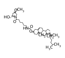 CO[C@@H]1C[C@@H](CO)N(C(=O)CCCCCNC(=O)O[C@H]2CC[C@@]3(C)C(=CCC4C3CC[C@@]3(C)C4CC[C@@H]3[C@H](C)CCCC(C)C)C2)C1